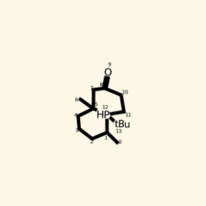 CC1CCCC2(C)CC(=O)CC[PH]12C(C)(C)C